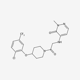 Cn1nccc(NCC(=O)N2CCC(Oc3cc(C(F)(F)F)ccc3Cl)CC2)c1=O